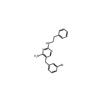 Nc1nc(NCCc2ccccc2)ncc1Cc1cccc(Br)c1